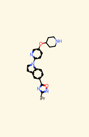 CC(C)c1noc(-c2ccc3c(ccn3-c3ccc(OC4CCNCC4)cn3)c2)n1